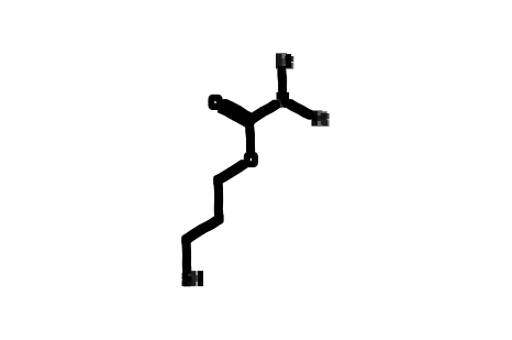 CCN(CC)C(=O)OCCCS